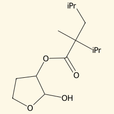 CC(C)CC(C)(C(=O)OC1CCOC1O)C(C)C